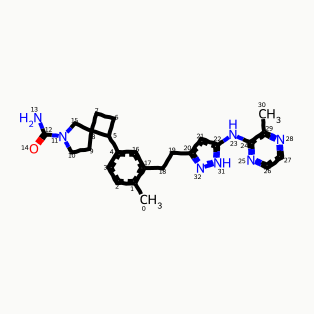 Cc1ccc(C2CCC23CCN(C(N)=O)C3)cc1CCc1cc(Nc2nccnc2C)[nH]n1